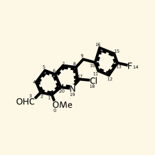 COc1c(C=O)ccc2cc(Cc3ccc(F)cc3)c(Cl)nc12